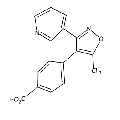 O=C(O)c1ccc(-c2c(-c3cccnc3)noc2C(F)(F)F)cc1